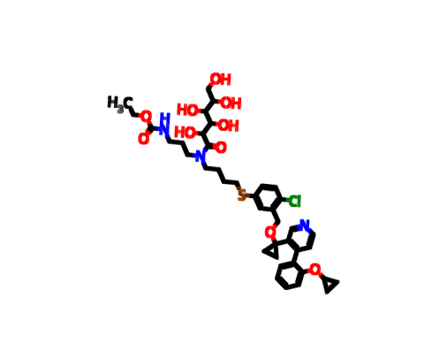 CCOC(=O)NCCCN(CCCCSc1ccc(Cl)c(COC2(c3cnccc3-c3ccccc3OC3CC3)CC2)c1)C(=O)C(O)C(O)C(O)C(O)CO